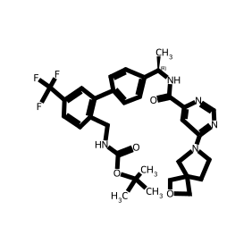 C[C@@H](NC(=O)c1cc(N2CCC3(COC3)C2)ncn1)c1ccc(-c2cc(C(F)(F)F)ccc2CNC(=O)OC(C)(C)C)cc1